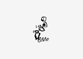 COc1ccc2c(c1)c([C@@H]1CCC[C@H](NC(=O)[C@@H]3CCCO3)C1)cn2C